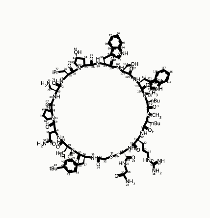 CCCC[C@H]1C(=O)N(C)[C@@H](CCCC)C(=O)N[C@@H](CCCNC(=N)N)C(=O)N[C@H](C(=O)NCC(N)=O)CSCC(=O)N[C@@H](Cc2ccc(C(C)(C)C)cc2)C(=O)N(C)[C@@H](C)C(=O)NC(CC(N)=O)C(=O)N2CCC[C@H]2C(=O)N[C@@H](CN)C(=O)N[C@@H](CC(C)C)C(=O)N2C[C@H](O)CC2C(=O)N[C@@H](Cc2c[nH]c3ccccc23)C(=O)N[C@@H](CO)C(=O)N[C@@H](Cc2c[nH]c3ccccc23)C(=O)N1C